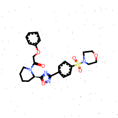 O=C(COc1ccccc1)N1CCCC[C@@H]1c1nc(-c2ccc(S(=O)(=O)N3CCOCC3)cc2)no1